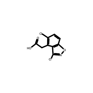 O=C(O)Cc1c(Cl)ccc2onc(Cl)c12